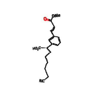 COC(=O)/C=C/c1cccc(C(CCCCCC#N)C(=O)O)c1